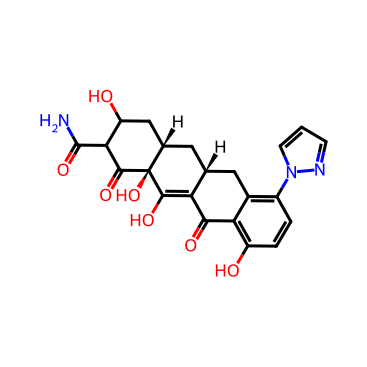 NC(=O)C1C(=O)[C@@]2(O)C(O)=C3C(=O)c4c(O)ccc(-n5cccn5)c4C[C@H]3C[C@H]2CC1O